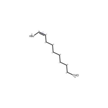 CCCC/C=C\CCCCCCCC=O